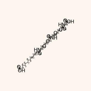 O=C(O)CCCCCCCCCCCCC(=O)NCCOCCOCC(=O)NCCOCCOCC(=O)NCC(=O)O